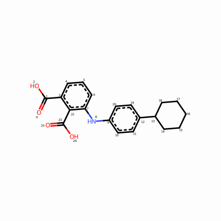 O=C(O)c1cccc(Nc2ccc(C3CCCCC3)cc2)c1C(=O)O